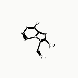 C=Cc1c(C=O)nc2c(Br)cccn12